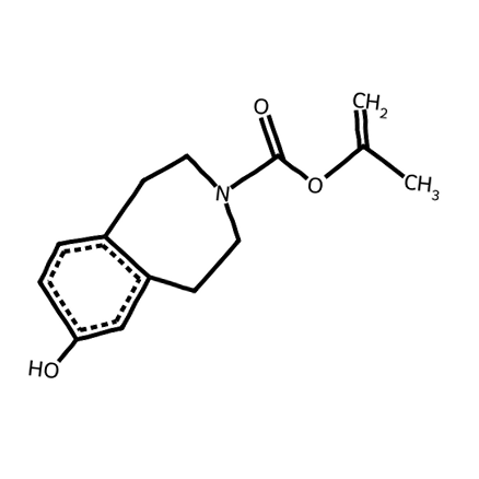 C=C(C)OC(=O)N1CCc2ccc(O)cc2CC1